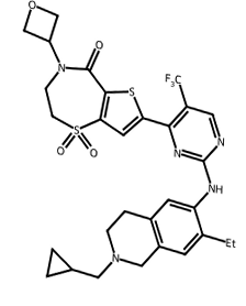 CCc1cc2c(cc1Nc1ncc(C(F)(F)F)c(-c3cc4c(s3)C(=O)N(C3COC3)CCS4(=O)=O)n1)CCN(CC1CC1)C2